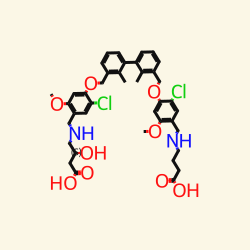 COc1cc(OCc2cccc(-c3cccc(COc4cc(OC)c(CNC[C@@H](O)CC(=O)O)cc4Cl)c3C)c2C)c(Cl)cc1CNCCCC(=O)O